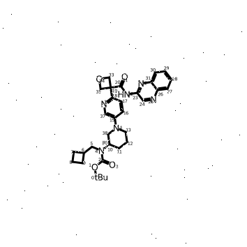 CC(C)(C)OC(=O)N(CC1CCC1)[C@@H]1CCCN(c2ccc(C3(C(=O)Nc4cnc5ccccc5n4)COC3)nc2)C1